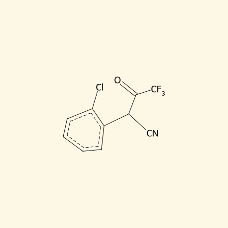 N#CC(C(=O)C(F)(F)F)c1ccccc1Cl